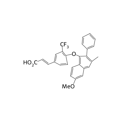 COc1ccc2c(Oc3ccc(C=CC(=O)O)cc3C(F)(F)F)c(-c3ccccc3)c(C)cc2c1